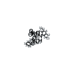 O=C(Nc1c2c(cc3c1CCC3)CCC2)C(=CN[SH](=O)=O)C1CCCN1S(=O)(=O)Cc1ccccc1